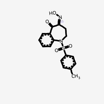 Cc1ccc(S(=O)(=O)N2CC/C(=N/O)C(=O)c3ccccc32)cc1